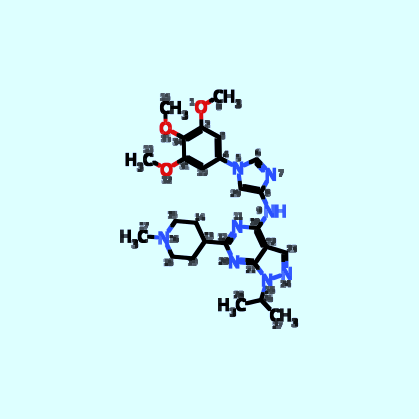 COc1cc(-n2cnc(Nc3nc(C4CCN(C)CC4)nc4c3cnn4C(C)C)c2)cc(OC)c1OC